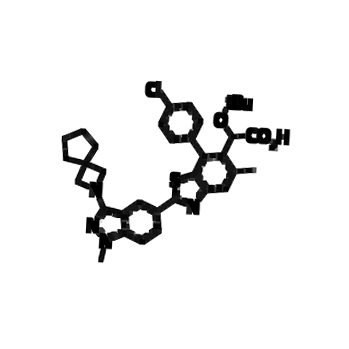 Cc1cc2nc(-c3ccc4c(c3)c(N3CC5(CCCC5)C3)nn4C)sc2c(-c2ccc(Cl)cc2)c1C(OC(C)(C)C)C(=O)O